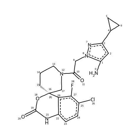 Nc1cc(C2CC2)nn1CC(=O)N1CCC[C@@]2(C1)OC(=O)Nc1ccc(Cl)c(F)c12